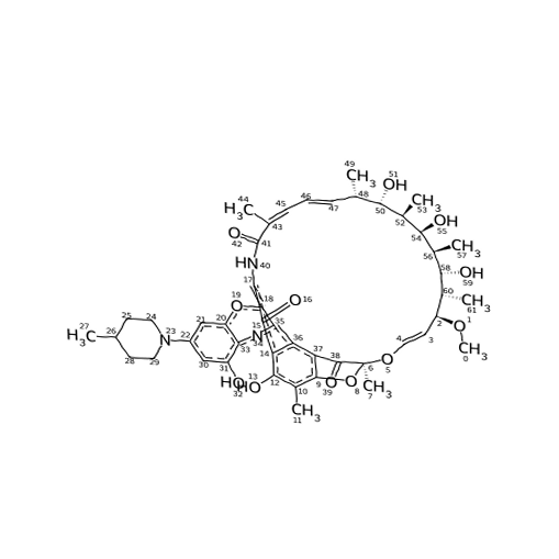 CO[C@H]1/C=C/O[C@@]2(C)Oc3c(C)c(O)c4c(=O)c(c5oc6cc(N7CCC(C)CC7)cc(O)c6nc-5c4c3C2=O)NC(=O)/C(C)=C\C=C\[C@H](C)[C@H](O)[C@@H](C)[C@@H](O)[C@@H](C)[C@H](O)[C@@H]1C